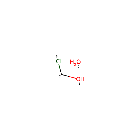 O.OCCl